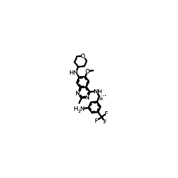 COc1cc2c(N[C@H](C)c3cc(N)cc(C(F)(F)F)c3)nc(C)nc2cc1NC1CCOCC1